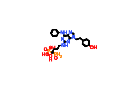 O=[PH2]C(O)(CCCNc1nc(Nc2ccccc2)c2ncn(CCc3ccc(O)cc3)c2n1)P(=O)(O)O